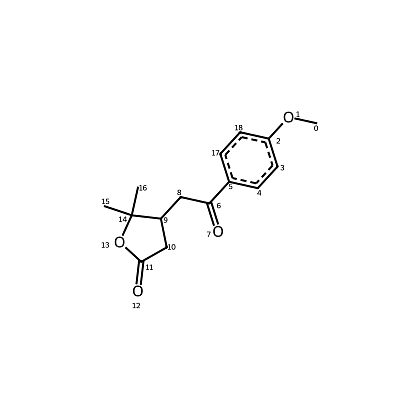 COc1ccc(C(=O)CC2CC(=O)OC2(C)C)cc1